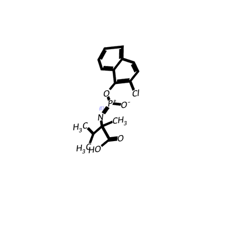 CC(C)C(C)(/N=[P+](\[O-])Oc1c(Cl)ccc2ccccc12)C(=O)O